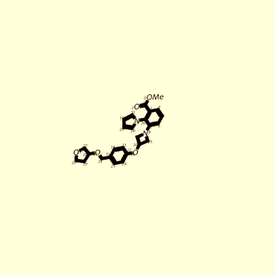 COC(=O)c1cccc(N2CC(Oc3ccc(COC4CCOC4)cc3)C2)c1-n1cccc1